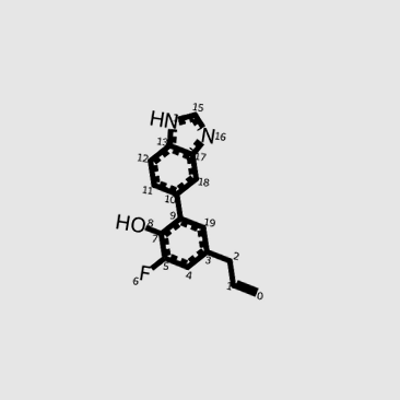 C=CCc1cc(F)c(O)c(-c2ccc3[nH]cnc3c2)c1